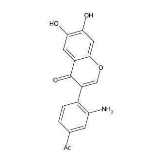 CC(=O)c1ccc(-c2coc3cc(O)c(O)cc3c2=O)c(N)c1